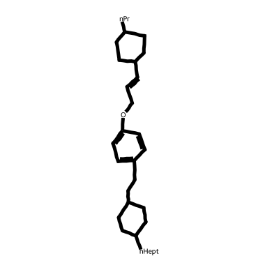 CCCCCCCC1CCC(CCc2ccc(OCC=CC3CCC(CCC)CC3)cc2)CC1